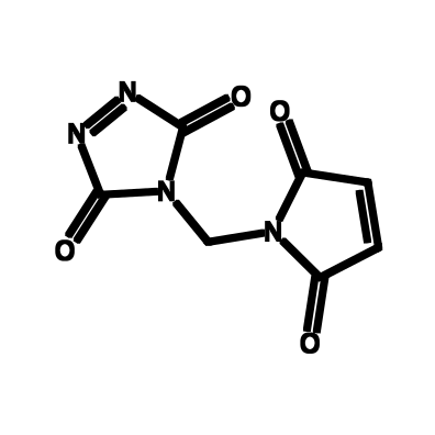 O=C1C=CC(=O)N1CN1C(=O)N=NC1=O